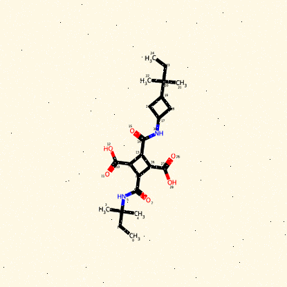 CCC(C)(C)NC(=O)C1C(C(=O)O)C(C(=O)NC2CC(C(C)(C)CC)C2)C1C(=O)O